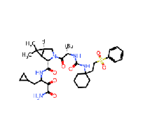 CC(C)(C)[C@H](NC(=O)NC1(CCS(=O)(=O)c2ccccc2)CCCCC1)C(=O)N1C[C@H]2C([C@H]1C(=O)NC(CC1CC1)C(=O)C(N)=O)C2(C)C